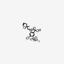 CC1(CNc2cc(Cl)c(S(N)(=O)=O)cc2C(=O)O)CC=CO1